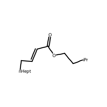 CCCCCCCCC=CC(=O)OCCC(C)C